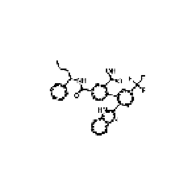 CCCC(NC(=O)c1ccc(-c2cc(C(F)(F)F)ccc2-c2nc3ccccc3[nH]2)c(C(=O)O)c1)c1ccccc1